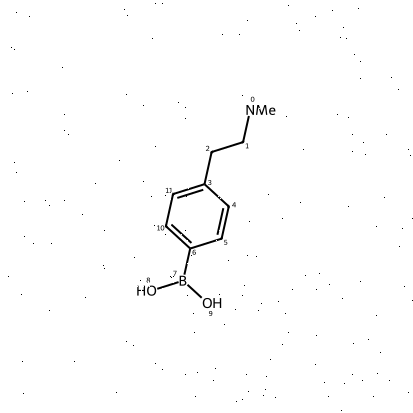 CNCCc1ccc(B(O)O)cc1